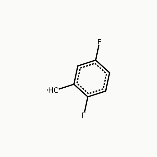 [CH]c1cc(F)ccc1F